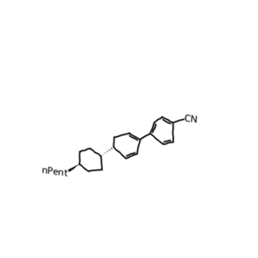 CCCCC[C@H]1CC[C@H](C2C=CC(c3ccc(C#N)cc3)=CC2)CC1